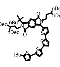 CCCCCCCCCCC(CCCCCCCCCC)CCN1C(=O)c2cc3c(cc2=C1c1ccc(-c2ccc(-c4ccc(-c5ccc(C(C)(C)C)s5)s4)s2)s1)C(=O)N(CCC(CCCCCCCCCC)CCCCCCCCCC)C=3C(C)(C)CCCC